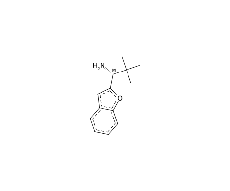 CC(C)(C)[C@@H](N)c1cc2ccccc2o1